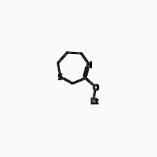 CCOC1=NCCCSC1